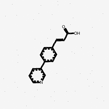 O=C(O)/C=C/c1ccc(-c2cccnc2)cc1